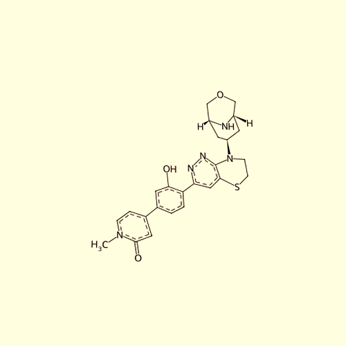 Cn1ccc(-c2ccc(-c3cc4c(nn3)N([C@@H]3C[C@H]5COC[C@@H](C3)N5)CCS4)c(O)c2)cc1=O